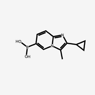 Cc1c(C2CC2)nc2ccc(B(O)O)cn12